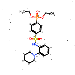 CCOP(=O)(OCC)c1ccc(S(=O)(=O)Nc2ccccc2N2CCCCC2)cc1